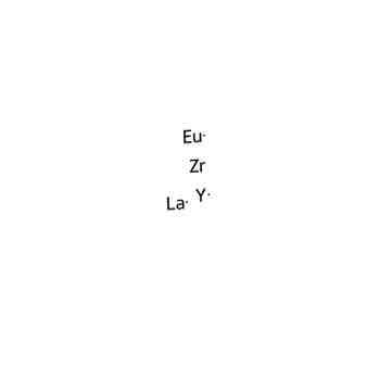 [Eu].[La].[Y].[Zr]